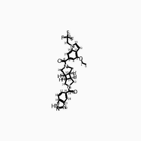 CCOc1cc(C(=O)N2C[C@@H]3[C@H]4CN(C(=O)c5ccc6[nH]nnc6c5)C[C@H]4[C@@H]3C2)cc2c1ccn2CC(F)(F)F